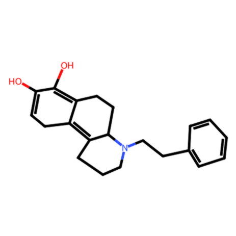 OC1=CCC2=C3CCCN(CCc4ccccc4)C3CCC2=C1O